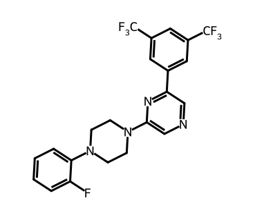 Fc1ccccc1N1CCN(c2cncc(-c3cc(C(F)(F)F)cc(C(F)(F)F)c3)n2)CC1